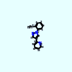 CCCc1ccccc1-n1cc(-c2ccccn2)cn1